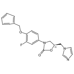 O=C1O[C@H](Cn2ccnc2)CN1c1ccc(OCc2ccccc2)c(F)c1